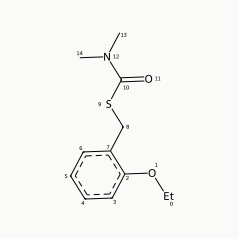 CCOc1ccccc1CSC(=O)N(C)C